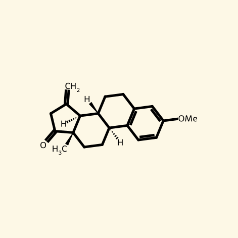 C=C1CC(=O)[C@@]2(C)CC[C@@H]3c4ccc(OC)cc4CC[C@H]3[C@H]12